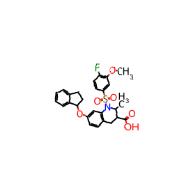 COc1cc(S(=O)(=O)N2c3cc(OC4CCc5ccccc54)ccc3CC(C(=O)O)C2C)ccc1F